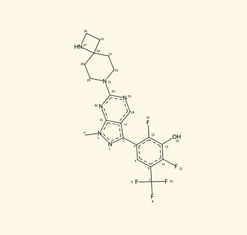 Cn1nc(-c2cc(C(F)(F)F)c(F)c(O)c2F)c2cnc(N3CCC4(CCN4)CC3)nc21